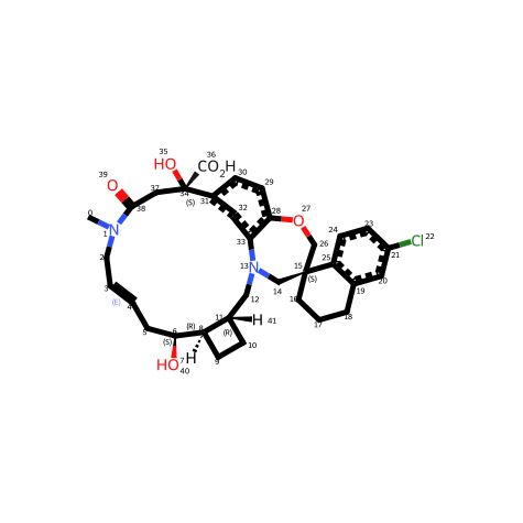 CN1C/C=C/C[C@H](O)[C@@H]2CC[C@H]2CN2C[C@@]3(CCCc4cc(Cl)ccc43)COc3ccc(cc32)[C@](O)(C(=O)O)CC1=O